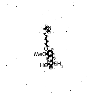 COc1c(OCCCCCCn2ccnc2)ccc2c1CN1C(=N2)N(C)C(=O)C1O